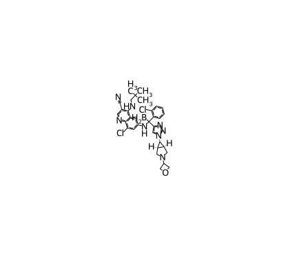 BC(Nc1cc(Cl)c2ncc(C#N)c(NCC(C)(C)C)c2c1)(c1cn([C@H]2[C@@H]3CN(C4COC4)C[C@@H]32)nn1)c1ccccc1Cl